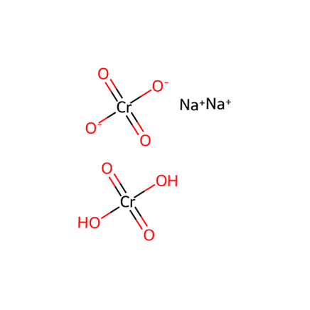 [Na+].[Na+].[O]=[Cr](=[O])([O-])[O-].[O]=[Cr](=[O])([OH])[OH]